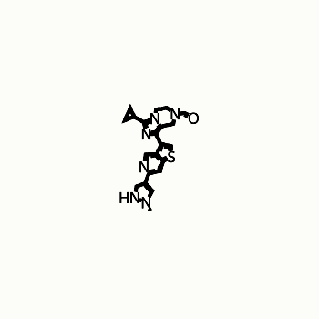 CN1C=C(c2cc3scc(-c4nc(C5CC5)n5c4CN(C=O)CC5)c3cn2)CN1